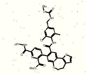 CCCNC(=O)c1ccc(-c2cc3c(cc2C(=O)Nc2c(C)cc(CNC(=O)OC(C)(C)C)cc2Cl)-c2sccc2CCO3)c(C(=O)OC)n1